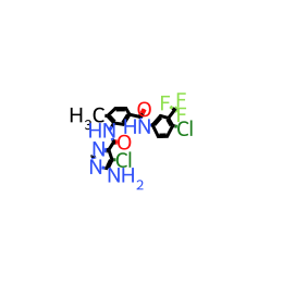 Cc1ccc(C(=O)Nc2ccc(Cl)c(C(F)(F)F)c2)cc1NC(=O)c1ncnc(N)c1Cl